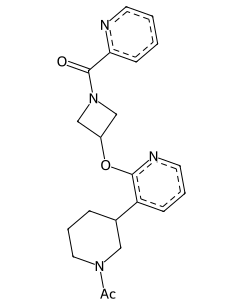 CC(=O)N1CCCC(c2cccnc2OC2CN(C(=O)c3ccccn3)C2)C1